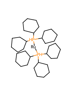 C1CCC([PH]([Ru][PH](C2CCCCC2)(C2CCCCC2)C2CCCCC2)(C2CCCCC2)C2CCCCC2)CC1